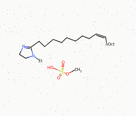 CCCCCCCC/C=C\CCCCCCCCC1=NCCN1CC.COS(=O)(=O)O